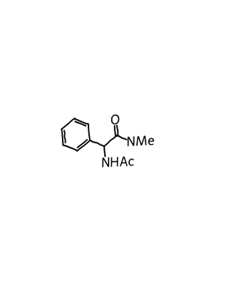 CNC(=O)C(NC(C)=O)c1ccccc1